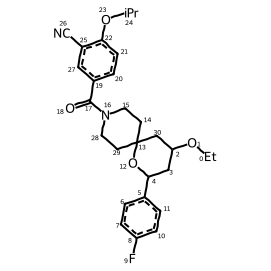 CCOC1CC(c2ccc(F)cc2)OC2(CCN(C(=O)c3ccc(OC(C)C)c(C#N)c3)CC2)C1